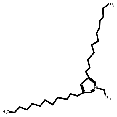 CCCCCCCCCCCCc1cc(CCCCCCCCCCCC)c[n+](CC)c1